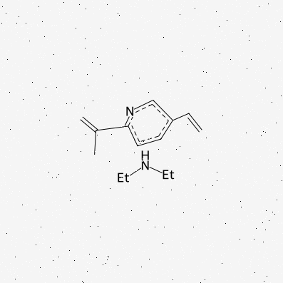 C=Cc1ccc(C(=C)C)nc1.CCNCC